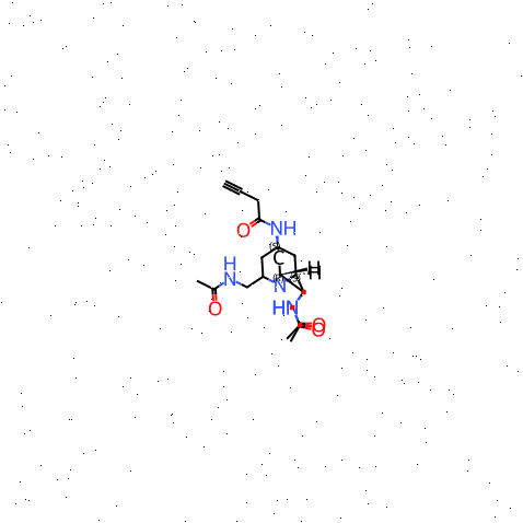 C#CCC(=O)N[C@@]12CC(CNC(C)=O)N([C@H](CNC(C)=O)C1)[C@@H](CNC(C)=O)C2